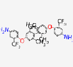 Cc1cc(Oc2ccc(N)cc2C(F)(F)F)cc(C)c1-c1c(C)cc(Oc2ccc(N)cc2C(F)(F)F)cc1C